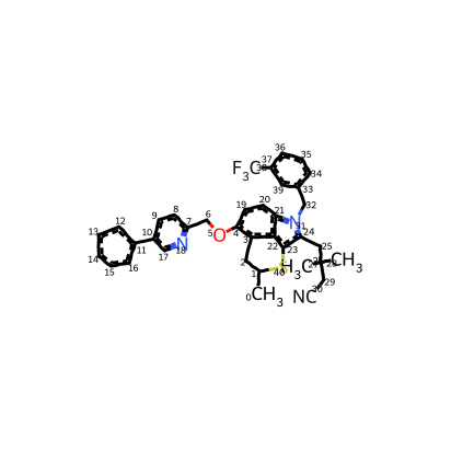 CC1Cc2c(OCc3ccc(-c4ccccc4)cn3)ccc3c2c(c(CC(C)(C)CC#N)n3Cc2cccc(C(F)(F)F)c2)S1